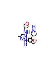 Cc1cc(NCC2CCOCC2)nc(Nc2cc3c(c(C4=CCNCCC4)c2)OCC3)n1